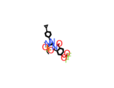 CCS(=O)(=O)c1c(N2Cc3cc4c(cc3C2=O)OC(F)(F)O4)nc(-c2ccc(C3CC3)cc2)n1C